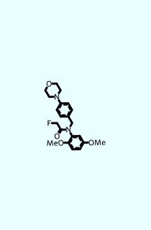 COc1ccc(OC)c(N(Cc2ccc(N3CCOCC3)cc2)C(=O)CF)c1